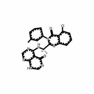 Cc1cccc(-n2c([C@H](C)Nc3ncnc4[nH]cnc(=O)c34)nc3cccc(Cl)c3c2=O)c1